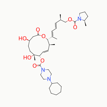 C/C(=C\C=C\[C@@H](C)COC(=O)N1CCC[C@H]1C)[C@H]1OC(=O)C[C@H](O)CC[C@@](C)(O)[C@@H](OC(=O)N2CCN(C3CCCCCC3)CC2)/C=C/[C@@H]1C